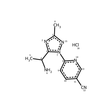 Cc1nc(C(C)N)n(-c2ccc(C#N)cn2)n1.Cl